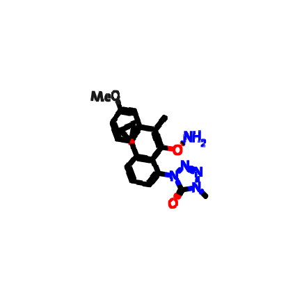 COc1cccc(/C(C)=C(/ON)c2c(C3CC3)cccc2-n2nnn(C)c2=O)c1